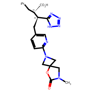 CC(C)C[C@H](C(=O)O)[C@H](Cc1ccc(N2CC3(CN(C)C(=O)O3)C2)nc1)c1nnn[nH]1